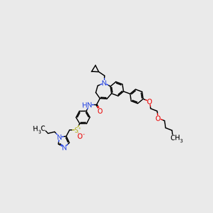 CCCCOCCOc1ccc(-c2ccc3c(c2)C=C(C(=O)Nc2ccc([S+]([O-])Cc4cncn4CCC)cc2)CCN3CC2CC2)cc1